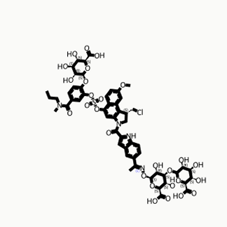 CCCN(C)C(=O)c1ccc(O[C@@H]2O[C@H](C(=O)O)[C@@H](O)[C@H](O)[C@H]2O)c(OS(=O)(=O)Oc2cc3c(c4cc(OC)ccc24)[C@H](CCl)CN3C(=O)c2cc3cc(/C(C)=N/O[C@@H]4O[C@H](C(=O)O)[C@@H](O)[C@H](OC5O[C@H](C(=O)O)[C@@H](O)[C@H](O)[C@H]5O)[C@H]4O)ccc3[nH]2)c1